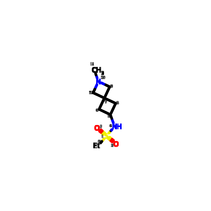 CCS(=O)(=O)NC1CC2(C1)CN(C)C2